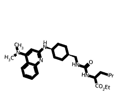 CCOC(=O)C(CC(C)C)NC(=O)NC[C@H]1CC[C@@H](Nc2cc(N(C)C)c3ccccc3n2)CC1